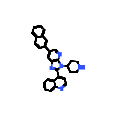 c1ccc2cc(-c3cnc4c(c3)nc(-c3ccnc5ccccc35)n4C3CCNCC3)ccc2c1